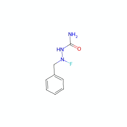 NC(=O)NN(F)Cc1ccccc1